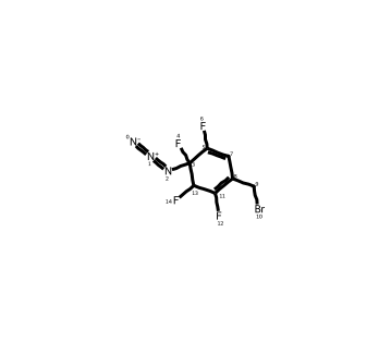 [N-]=[N+]=NC1(F)C(F)=CC(CBr)=C(F)C1F